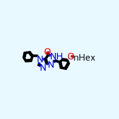 CCCCCCOc1cccc(-c2nc3ncn(Cc4ccccc4)c3c(=O)[nH]2)c1